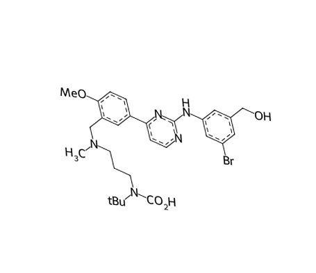 COc1ccc(-c2ccnc(Nc3cc(Br)cc(CO)c3)n2)cc1CN(C)CCCN(C(=O)O)C(C)(C)C